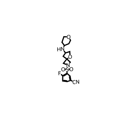 N#Cc1ccc(F)c(S(=O)(=O)N2CC3(CC(NC4CCOCC4)CO3)C2)c1